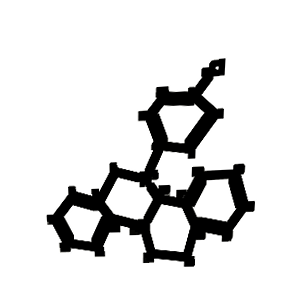 Clc1ccc(N2Cc3ccccc3N3CCc4ccccc4C23)cc1